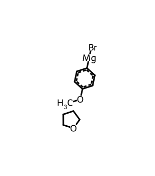 C1CCOC1.COc1cc[c]([Mg][Br])cc1